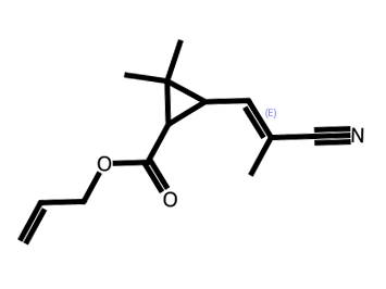 C=CCOC(=O)C1C(/C=C(\C)C#N)C1(C)C